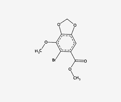 COC(=O)c1cc2c(c(OC)c1Br)OCO2